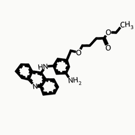 CCOC(=O)CCCOCc1cc(N)cc(Nc2c3ccccc3nc3ccccc23)c1